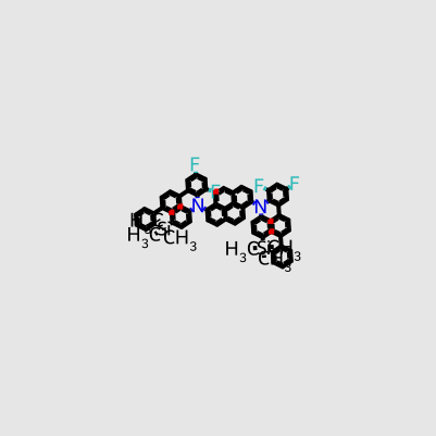 C[Si](C)(C)c1ccc(N(c2c(F)cc(F)cc2-c2ccc(-c3ccccc3)cc2)c2ccc3ccc4c(N(c5ccc([Si](C)(C)C)cc5)c5c(F)cc(F)cc5-c5ccc(-c6ccccc6)cc5)ccc5ccc2c3c54)cc1